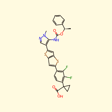 C[C@@H](OC(=O)Nc1c(-c2cc3sc(-c4ccc(C5(C(=O)O)CC5)c(F)c4F)cc3s2)cnn1C)c1ccccc1